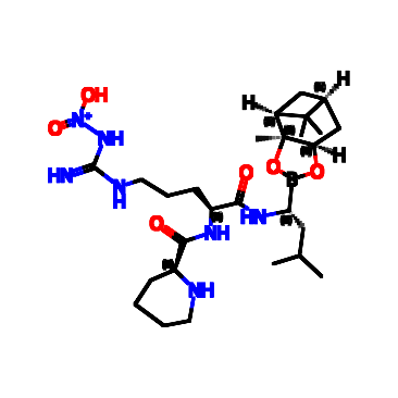 CC(C)C[C@H](NC(=O)[C@H](CCCNC(=N)N[N+](=O)O)NC(=O)[C@@H]1CCCCN1)B1O[C@@H]2C[C@@H]3C[C@@H](C3(C)C)[C@]2(C)O1